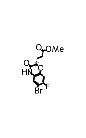 COC(=O)CC[C@@H]1Oc2cc(F)c(Br)cc2NC1=O